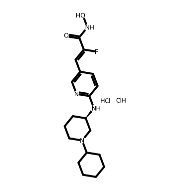 Cl.Cl.O=C(NO)C(F)=Cc1ccc(N[C@@H]2CCCN(C3CCCCC3)C2)nc1